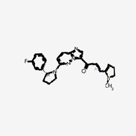 CN1CCC=C1/C=C/C(=O)c1cnc2ccc(N3CCC[C@@H]3c3cccc(F)c3)nn12